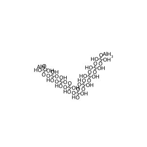 O=S(=O)(O)O.O=S(=O)(O)O.O=S(=O)(O)O.O=S(=O)(O)O.O=S(=O)(O)O.O=S(=O)(O)O.O=S(=O)(O)O.O=S(=O)(O)O.O=S(=O)(O)O.[AlH3].[AlH3]